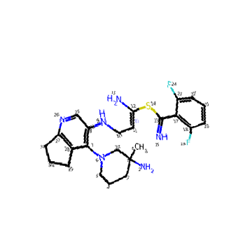 CC1(N)CCCN(c2c(NC/C=C(\N)SC(=N)c3c(F)cccc3F)cnc3c2CCC3)C1